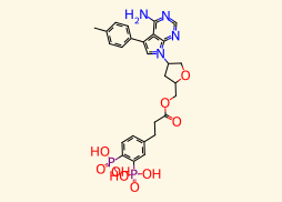 Cc1ccc(-c2cn(C3COC(COC(=O)CCc4ccc(P(=O)(O)O)c(P(=O)(O)O)c4)C3)c3ncnc(N)c23)cc1